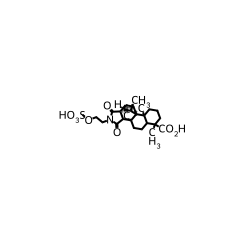 CC1[C@@H]2CC34CCC5C(C)(C(=O)O)CCCC5(C)C13CC2C1C(=O)N(CCOS(=O)(=O)O)C(=O)C14